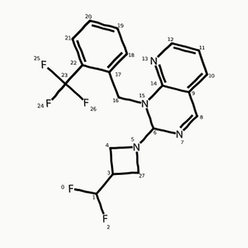 FC(F)C1CN(C2N=Cc3cccnc3N2Cc2ccccc2C(F)(F)F)C1